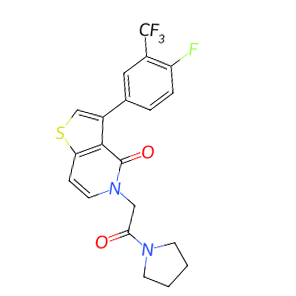 O=C(Cn1ccc2scc(-c3ccc(F)c(C(F)(F)F)c3)c2c1=O)N1CCCC1